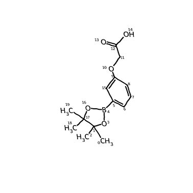 CC1(C)OB(c2cccc(OCC(=O)O)c2)OC1(C)C